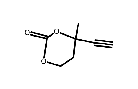 C#CC1(C)CCOC(=O)O1